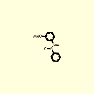 COc1cccc(N(C)B(Cl)c2ccccc2)c1